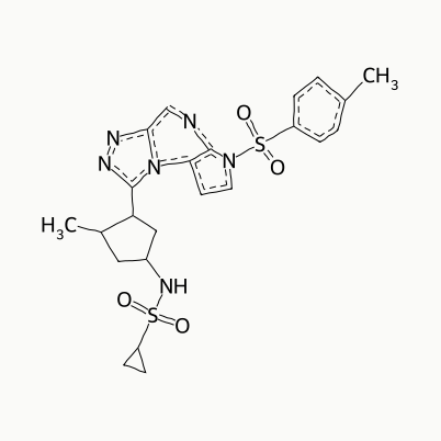 Cc1ccc(S(=O)(=O)n2ccc3c2ncc2nnc(C4CC(NS(=O)(=O)C5CC5)CC4C)n23)cc1